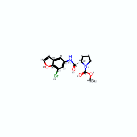 CCCCOC(=O)N1CCC[C@H]1C(=O)Nc1cc(Br)c2occc2c1